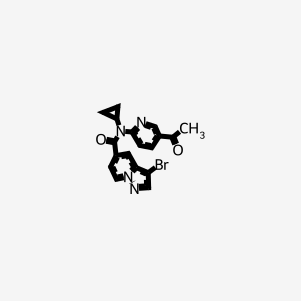 CC(=O)c1ccc(N(C(=O)c2ccn3ncc(Br)c3c2)C2CC2)nc1